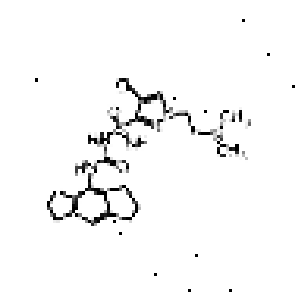 CN(C)CCn1cc(Cl)c(S(=N)(=O)NC(=O)Nc2c3c(cc4c2CCC4)CCC3)n1